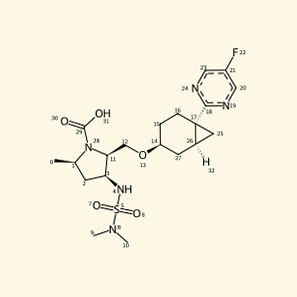 C[C@@H]1C[C@H](NS(=O)(=O)N(C)C)[C@H](CO[C@H]2CC[C@@]3(c4ncc(F)cn4)C[C@H]3C2)N1C(=O)O